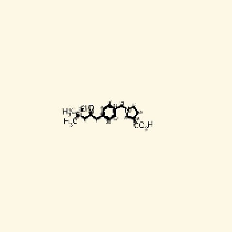 C[Si](C)(C)CC(=O)Cc1ccc(CN2CCC(C(=O)O)C2)cc1